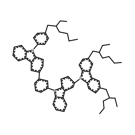 CCCCC(CC)Cc1ccc(-n2c3ccccc3c3cc(-c4cccc(-n5c6ccccc6c6cc(-n7c8ccc(CC(CC)CCC)cc8c8cc(CC(CC)CCCC)ccc87)ccc65)c4)ccc32)cc1